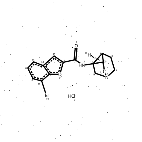 Cl.O=C(N[C@@H]1CN2CCC1CC2)c1cc2cccc(Br)c2o1